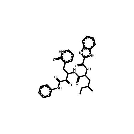 CCC(C)CC(NC(=O)c1nc2ccccc2[nH]1)C(=O)NC(Cc1ccc[nH]c1=O)C(=O)C(=O)Nc1ccccc1